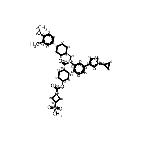 COc1ccc([C@H]2CC[C@H](CN(c3cccc(-c4cnn(C5CC5)c4)c3)C(=O)[C@H]3CC[C@H](OC(=O)N4CC(S(C)(=O)=O)C4)CC3)CC2)cc1C